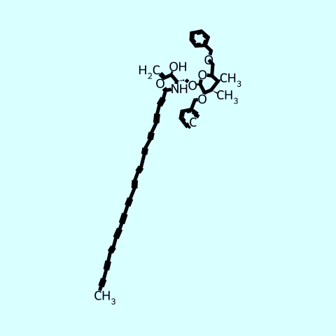 C=C[C@@H](O)[C@H](CO[C@H]1OC(COCc2ccccc2)[C@H](C)[C@H](C)C1OCc1ccccc1)NC(=O)C#CC#CC#CC#CC#CC#CC#CC#CC#CC#CC#CC#CC